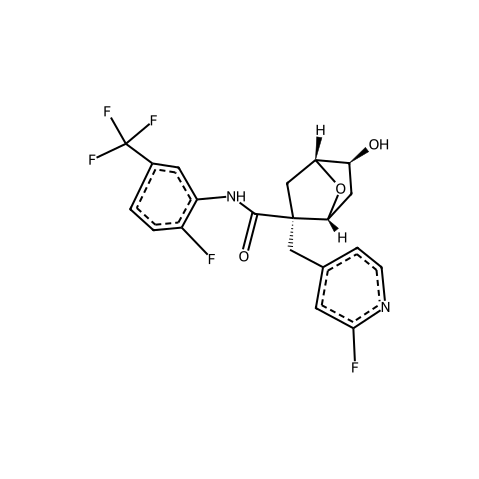 O=C(Nc1cc(C(F)(F)F)ccc1F)[C@@]1(Cc2ccnc(F)c2)C[C@H]2O[C@@H]1C[C@@H]2O